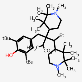 CCC(C1CCN(C)C(C)(C)C1(C)C)C(Cc1cc(C(C)(C)C)c(O)c(C(C)(C)C)c1)(C(C(=O)O)C(=O)O)C1CCN(C)C(C)(C)C1(C)C